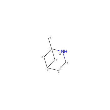 CC12CC(CCN1)C2